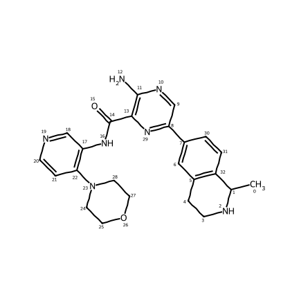 CC1NCCc2cc(-c3cnc(N)c(C(=O)Nc4cnccc4N4CCOCC4)n3)ccc21